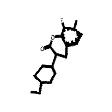 CCC1CCC(C2Cc3ccc(C)c(F)c3OC2=O)CC1